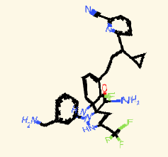 N#Cc1cccc(C(CCC2=CC=CC(N)(C3(C(N)=O)C=C(C(F)(F)F)NN3c3cccc(CN)c3)C2F)C2CC2)n1